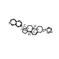 C[C@]12CC[C@H]3[C@@H](CC=C4C[C@H](n5ccnn5)CC[C@@]43C)[C@@H]1CC[C@@H]2c1ccc2ccncc2c1